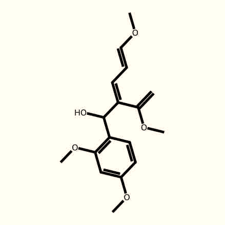 C=C(OC)/C(=C\C=C\OC)C(O)c1ccc(OC)cc1OC